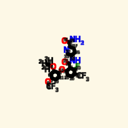 [2H]C([2H])([2H])Oc1cc(OC(F)(F)F)ccc1Oc1ccc(C(F)(F)F)c(F)c1C(=O)Nc1ccc(C(N)=O)nc1